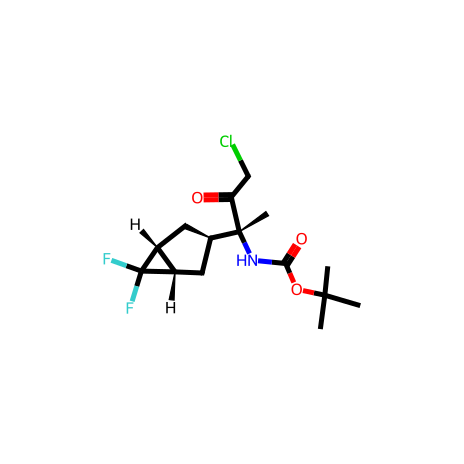 CC(C)(C)OC(=O)N[C@@](C)(C(=O)CCl)[C@@H]1C[C@@H]2[C@H](C1)C2(F)F